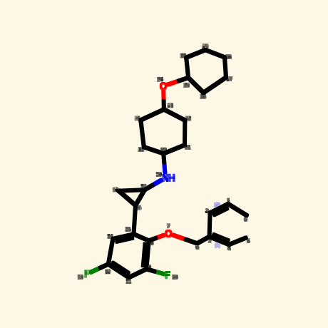 C/C=C\C(=C/C)COc1c(F)cc(F)cc1C1CC1NC1CCC(OC2CCCCC2)CC1